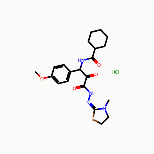 COc1ccc(C(NC(=O)C2CCCCC2)C(=O)C(=O)NN=C2SCCN2C)cc1.Cl